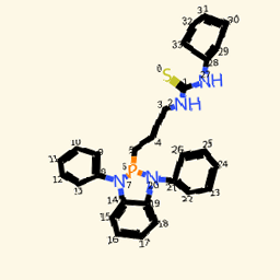 S=C(NCCCP1N(c2ccccc2)c2ccccc2N1c1ccccc1)Nc1ccccc1